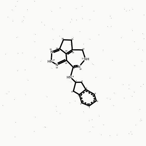 c1ccc2c(c1)CC(NC1=NNCC3=C4C(=NNN=C14)CC3)C2